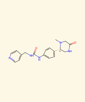 CN1CC(=O)NC[C@@H]1c1ccc(NC(=O)NCc2ccncc2)cc1